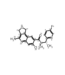 C[C@@H](c1ccc(F)cn1)N(C)C(=O)c1cc2c3c(c(N)nc2cc1Cl)COC3